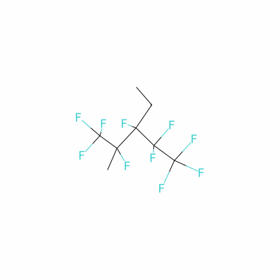 CCC(F)(C(C)(F)C(F)(F)F)C(F)(F)C(F)(F)F